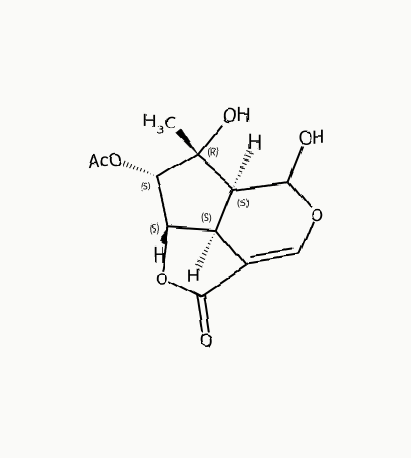 CC(=O)O[C@H]1[C@H]2OC(=O)C3=COC(O)[C@@H]([C@@H]32)[C@@]1(C)O